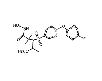 CC(C(=O)O)N(C(C)(C)C(=O)NO)S(=O)(=O)c1ccc(Oc2ccc(F)cc2)cc1